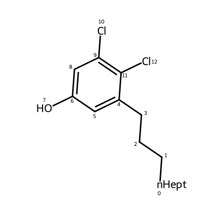 CCCCCCCCCCc1cc(O)cc(Cl)c1Cl